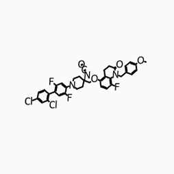 COc1ccc(CN2C(=O)CCc3c(OCC4(N=C=O)CCN(c5cc(F)c(-c6ccc(Cl)cc6Cl)cc5F)CC4)ccc(F)c32)cc1